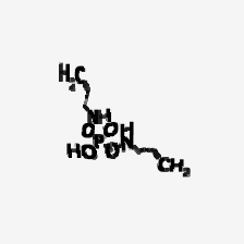 C=CCNOP(=O)(O)ONCC=C